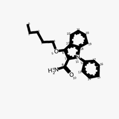 CCCCCOc1c(C(N)=O)n(-c2ccccc2)c2ccccc12